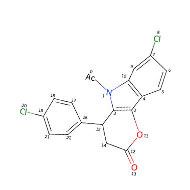 CC(=O)n1c2c(c3ccc(Cl)cc31)OC(=O)CC2c1ccc(Cl)cc1